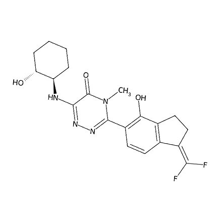 Cn1c(-c2ccc3c(c2O)CCC3=C(F)F)nnc(N[C@@H]2CCCC[C@H]2O)c1=O